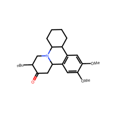 CCCCC1CN2C(CC1=O)c1cc(OC)c(OC)cc1C1CCCCC12